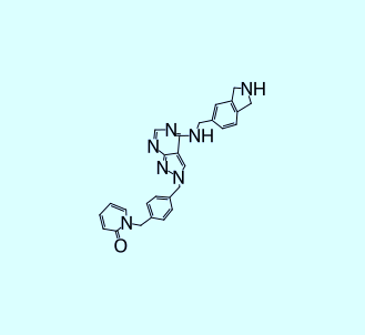 O=c1ccccn1Cc1ccc(Cn2cc3c(NCc4ccc5c(c4)CNC5)ncnc3n2)cc1